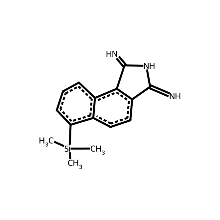 C[Si](C)(C)c1cccc2c3c(ccc12)C(=N)NC3=N